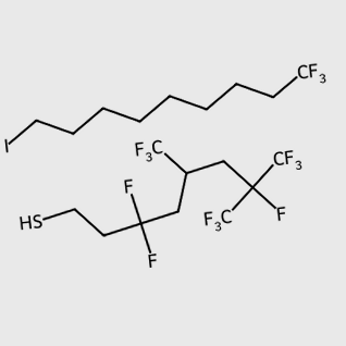 FC(F)(CCS)CC(CC(F)(C(F)(F)F)C(F)(F)F)C(F)(F)F.FC(F)(F)CCCCCCCCI